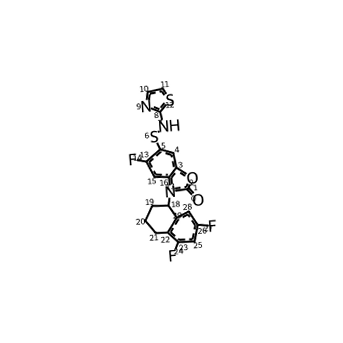 O=c1oc2cc(SNc3nccs3)c(F)cc2n1C1CCCc2c(F)cc(F)cc21